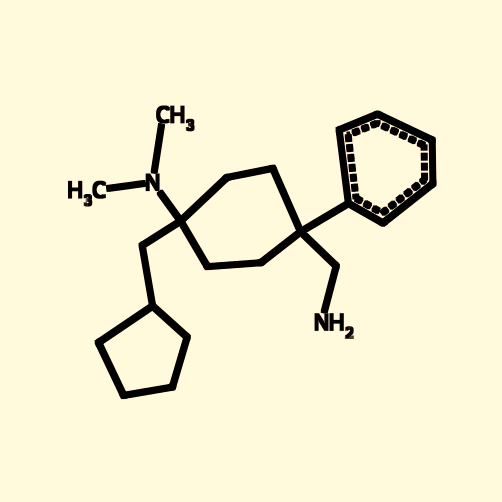 CN(C)C1(CC2CCCC2)CCC(CN)(c2ccccc2)CC1